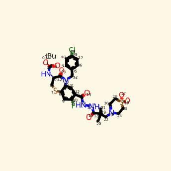 CC(C)(C)OC(=O)N[C@H]1CSc2cc(F)c(C(=O)NNC(=O)C(C)(C)CN3CCS(=O)(=O)CC3)cc2N(Cc2ccc(Cl)cc2)C1=O